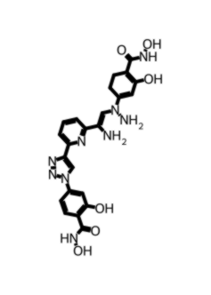 N/C(=C\N(N)C1=CC(O)=C(C(=O)NO)CC1)c1cccc(-c2cn(-c3ccc(C(=O)NO)c(O)c3)nn2)n1